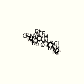 CCOC1(C(F)(F)F)CC(C(=O)Nc2cnc(-n3nccn3)c(Cl)c2)c2cnc3cc(Cl)nn3c21